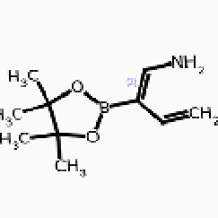 C=C/C(=C\N)B1OC(C)(C)C(C)(C)O1